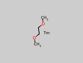 COCCOC.[Tm]